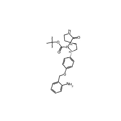 CC(C)(C)OC(=O)N1[C@@H](c2ccc(OCc3ccccc3N)cc2)CC[C@]12CCNC2=O